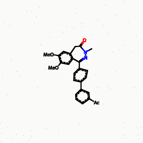 COc1cc2c(cc1OC)C(c1ccc(-c3cccc(C(C)=O)c3)cc1)=NN(C)C(=O)C2